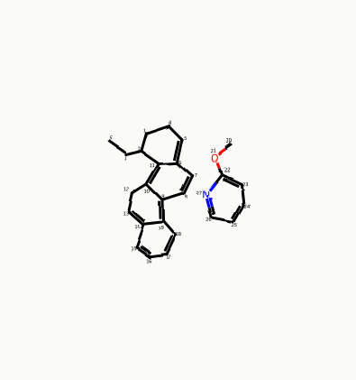 CCC1CCC=c2ccc3c(c21)CC=c1ccccc1=3.COc1ccccn1